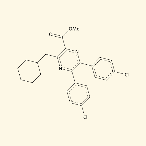 COC(=O)c1nc(-c2ccc(Cl)cc2)c(-c2ccc(Cl)cc2)nc1CC1CCCCC1